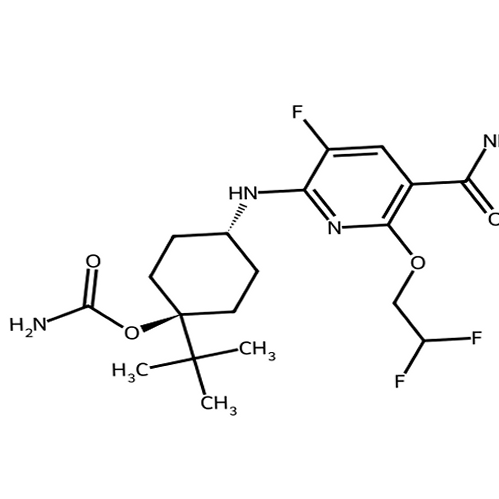 CC(C)(C)[C@]1(OC(N)=O)CC[C@H](Nc2nc(OCC(F)F)c(C(N)=O)cc2F)CC1